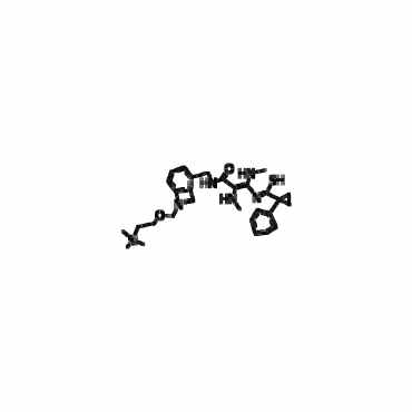 CNC(/N=C(\S)C1(c2ccccc2)CC1)=C(/NC)C(=O)NCc1cccc2c1C=[N+]2COCC[Si](C)(C)C